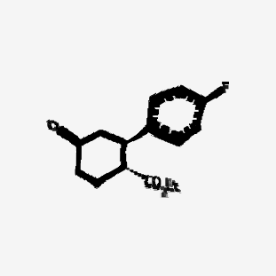 CCOC(=O)[C@@H]1CCC(=O)C[C@H]1c1ccc(F)cc1